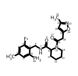 Cc1cc(F)c(CNC(=O)C2CCCCN2C(=O)Cc2cc(C)no2)c(P)c1